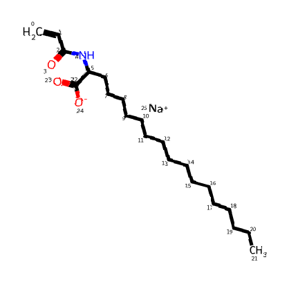 C=CC(=O)NC(CCCCCCCCCCCCCCCC)C(=O)[O-].[Na+]